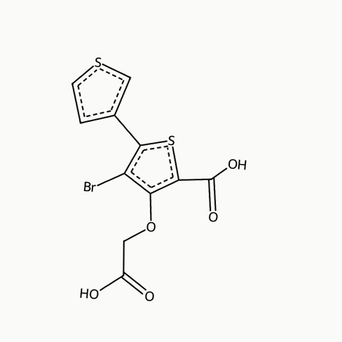 O=C(O)COc1c(C(=O)O)sc(-c2ccsc2)c1Br